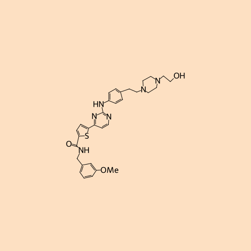 COc1cccc(CNC(=O)c2ccc(-c3ccnc(Nc4ccc(CCN5CCN(CCO)CC5)cc4)n3)s2)c1